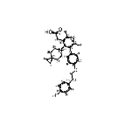 Cc1nc(C)c(-c2ccc(OCCc3ccc(F)cc3)cc2)c(N2CCC3(CC2)CC3)c1CC(=O)O